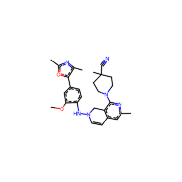 COc1cc(-c2oc(C)nc2C)ccc1NN1C=Cc2cc(C)nc(N3CCC(C)(C#N)CC3)c2C1